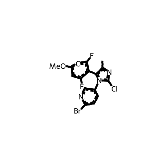 COc1cc(F)c(-c2c(C)nc(Cl)n2-c2ccc(Br)nc2)c(F)c1